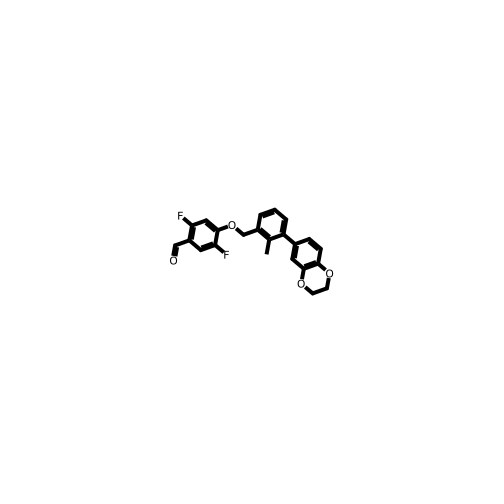 Cc1c(COc2cc(F)c(C=O)cc2F)cccc1-c1ccc2c(c1)OCCO2